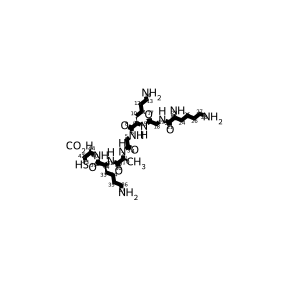 C[C@H](NC(=O)CNC(=O)[C@H](CCCCN)NC(=O)CNC(=O)[C@@H](N)CCCCN)C(=O)N[C@@H](CCCCN)C(=O)N[C@@H](CS)C(=O)O